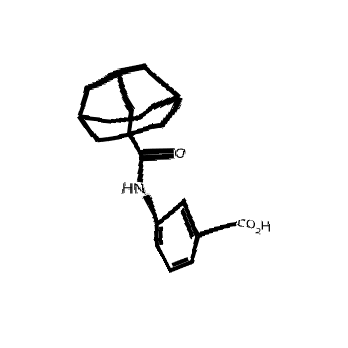 O=C(O)c1cccc(NC(=O)C23CC4CC(CC(C4)C2)C3)c1